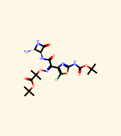 CC(C)(C)OC(=O)Nc1nc(/C(=N/OC(C)(C)C(=O)OC(C)(C)C)C(=O)N[C@@H]2C(=O)N[C@H]2N)c(Cl)s1